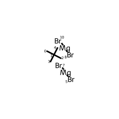 CC(C)(C)C.[Br][Mg][Br].[Br][Mg][Br]